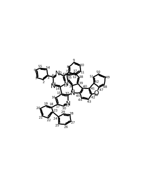 c1ccc(-c2nc(-c3ccccc3)nc(-c3cc(-c4ccccc4-c4ccccc4)cnc3-n3c4ccccc4c4c5c(ccc43)oc3ccccc35)n2)cc1